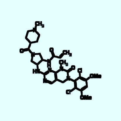 C=CC(=O)NC1CN(C(=O)C2CCN(C)CC2)CC1Nc1ncc2c(n1)N(C)C(=O)N(c1c(Cl)c(OC)cc(OC)c1Cl)C2